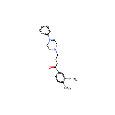 COc1ccc(C(=O)CCCN2CCN(c3ccccc3)CC2)cc1NC(C)=O